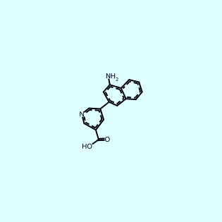 Nc1cc(-c2cncc(C(=O)O)c2)cc2ccccc12